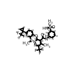 COc1nc(C2(C(F)(F)F)CC2)ccc1Oc1nnc(C(F)(F)F)c(C)c1C(=O)Nc1cccc(S(C)(=N)=O)c1